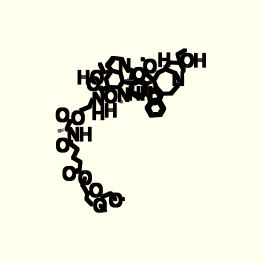 CCC(COC(=O)CCCC(=O)N[C@H](C)C(=O)OCCCNC(=O)[C@]1(O)C2N(C)c3cc(OC)c([C@@]4(C(=O)OC)C[C@@H]5C[N@](CCc6c4[nH]c4ccccc64)CC(O)(CC)C5)cc3[C@@]23CCN2CC=C[C@](CC)(C23)[C@H]1O)OC(COC)OC